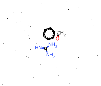 C=O.N=C(N)N.c1ccccc1